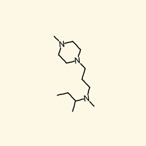 CCC(C)N(C)CCCN1CCN(C)CC1